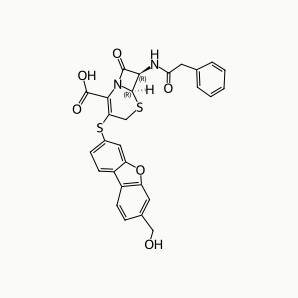 O=C(Cc1ccccc1)N[C@@H]1C(=O)N2C(C(=O)O)=C(Sc3ccc4c(c3)oc3cc(CO)ccc34)CS[C@H]12